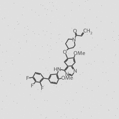 C=CC(=O)N1CCC(Oc2cc3c(Nc4cc(-c5ccc(F)c(F)c5F)ccc4OC)ncnc3cc2OC)CC1